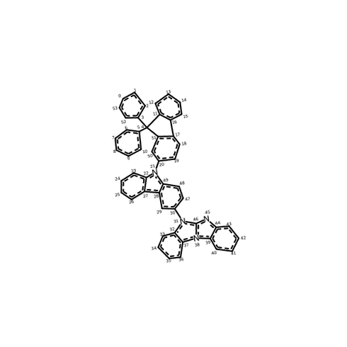 c1ccc(C2(c3ccccc3)c3ccccc3-c3ccc(-n4c5ccccc5c5cc(-n6c7ccccc7n7c8ccccc8nc67)ccc54)cc32)cc1